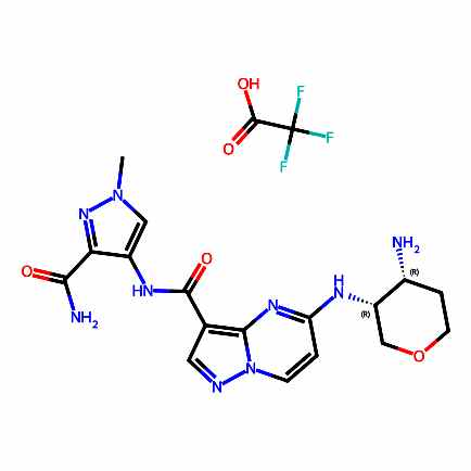 Cn1cc(NC(=O)c2cnn3ccc(N[C@H]4COCC[C@H]4N)nc23)c(C(N)=O)n1.O=C(O)C(F)(F)F